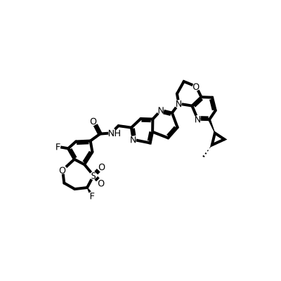 C[C@H]1C[C@@H]1c1ccc2c(n1)N(c1ccc3cnc(CNC(=O)c4cc(F)c5c(c4)S(=O)(=O)[C@@H](F)CCO5)cc3n1)CCO2